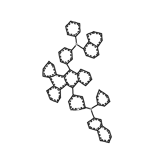 c1ccc(N(c2cccc(-c3c4ccccc4c(-c4cccc(N(c5ccccc5)c5cccc6ccccc56)c4)c4c5ccccc5c5ccccc5c34)c2)c2ccc3ccccc3c2)cc1